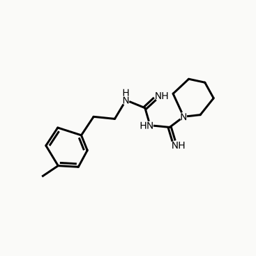 Cc1ccc(CCNC(=N)NC(=N)N2CCCCC2)cc1